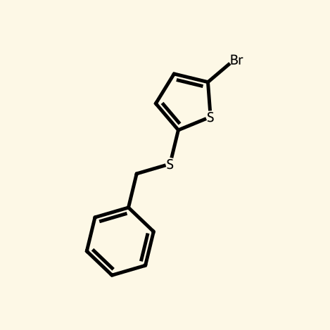 Brc1ccc(SCc2ccccc2)s1